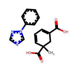 CC1(C(=O)O)C=CC=C(C(=O)O)C1.c1ccc(-n2cncn2)cc1